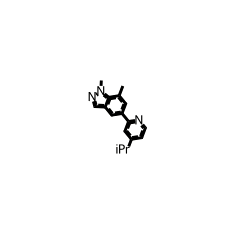 Cc1cc(-c2cc(C(C)C)ccn2)cc2cnn(C)c12